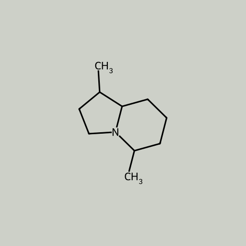 CC1CCN2C(C)CCCC12